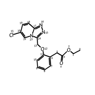 CCOC(=O)Cc1ccccc1OCc1nnc2ccc(Cl)cn12